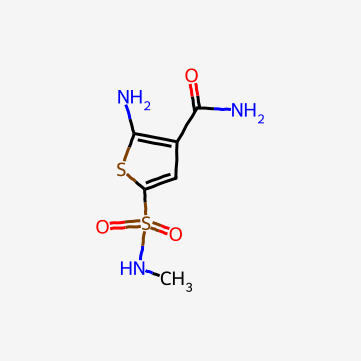 CNS(=O)(=O)c1cc(C(N)=O)c(N)s1